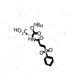 CCCCOC(=O)[C@@H](CC(=O)O)NC(=O)/C=C/S(=O)(=O)c1ccccc1